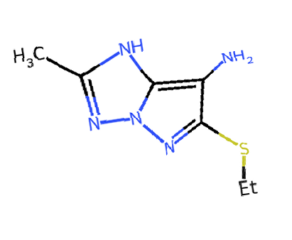 CCSc1nn2nc(C)[nH]c2c1N